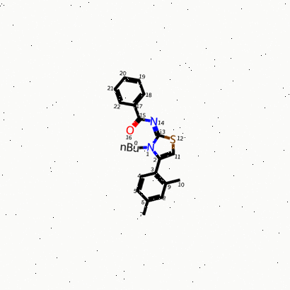 CCCCn1c(-c2ccc(C)cc2C)cs/c1=N/C(=O)c1ccccc1